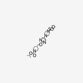 COOSN1CCN(c2cnc(OCC3CCN(C(=O)OC(C)C)CC3)nc2)CC1